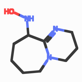 ONC1CCCCN2CCCN=C12